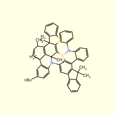 CCCCc1ccc2c(c1)C1(C)C=CC(C)C3=C1C1(C)C(=C4Sc5ccccc5C43C)B3c4c(cc5c(c4-c4ccccc4N3c3ccccc3)C(C)(C)c3ccccc3-5)N21